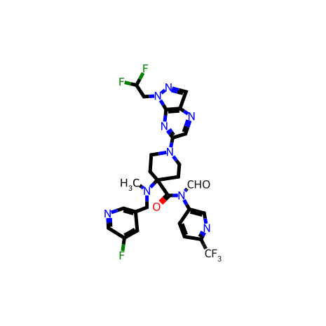 CN(Cc1cncc(F)c1)C1(C(=O)N(C=O)c2ccc(C(F)(F)F)nc2)CCN(c2cnc3cnn(CC(F)F)c3n2)CC1